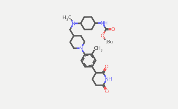 Cc1cc(C2CCC(=O)NC2=O)ccc1N1CCC(CN(C)C2CCC(NC(=O)OC(C)(C)C)CC2)CC1